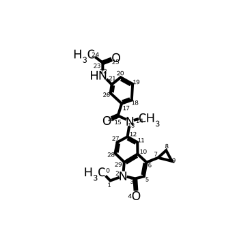 CCn1c(=O)cc(C2CC2)c2cc(N(C)C(=O)c3cccc(NC(C)=O)c3)ccc21